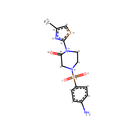 Nc1ccc(S(=O)(=O)N2CCN(c3nc(C(F)(F)F)cs3)C(=O)C2)cc1